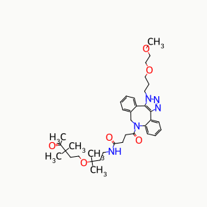 COCCOCCCn1nnc2c1-c1ccccc1CN(C(=O)CCC(=O)NCCC(C)(C)OCCC(C)(C)C(C)=O)c1ccccc1-2